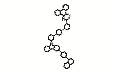 c1cc(-c2ccc(-c3cccc(-n4c5ccccc5c5cc(-c6ccc(-c7cccc8ccccc78)cc6)ccc54)c3)cc2)cc(-c2cnc3c4ccccc4c4ccccc4c3n2)c1